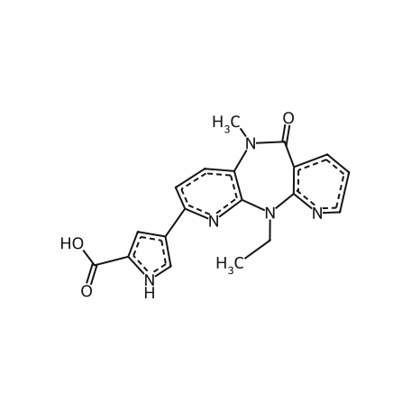 CCN1c2ncccc2C(=O)N(C)c2ccc(-c3c[nH]c(C(=O)O)c3)nc21